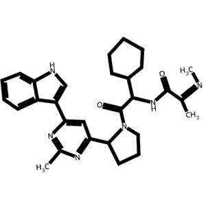 C/N=C(/C)C(=O)NC(C(=O)N1CCCC1c1cc(-c2c[nH]c3ccccc23)nc(C)n1)C1CCCCC1